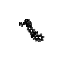 CN(C)c1[c]cnc(Cc2ccc(NC(=O)c3ccc4ccccc4c3)cc2)n1